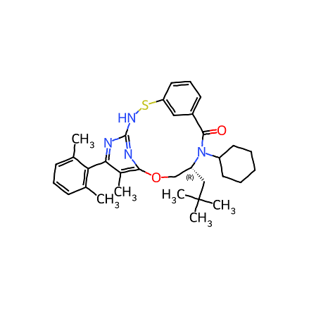 Cc1cccc(C)c1-c1nc2nc(c1C)OC[C@@H](CC(C)(C)C)N(C1CCCCC1)C(=O)c1cccc(c1)SN2